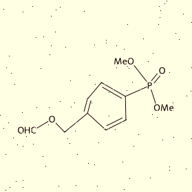 COP(=O)(OC)c1ccc(COC=O)cc1